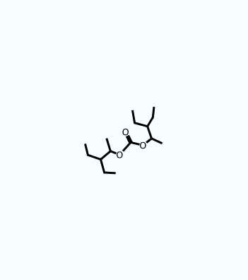 CCC(CC)C(C)OC(=O)OC(C)C(CC)CC